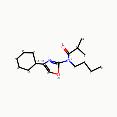 CCCCN(C(=O)C(C)C)c1nc(C2CCCCC2)co1